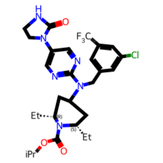 CC[C@@H]1CC(N(Cc2cc(Cl)cc(C(F)(F)F)c2)c2ncc(N3CCNC3=O)cn2)C[C@H](CC)N1C(=O)OC(C)C